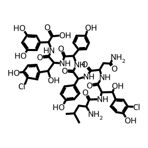 CC(C)CC(N)C(=O)NC(C(=O)NC(CC(N)=O)C(=O)NC(C(=O)NC(C(=O)NC(C(=O)NC(C(=O)O)c1cc(O)cc(O)c1)C(O)c1ccc(O)c(Cl)c1)c1ccc(O)cc1)c1ccc(O)cc1)C(O)c1ccc(O)c(Cl)c1